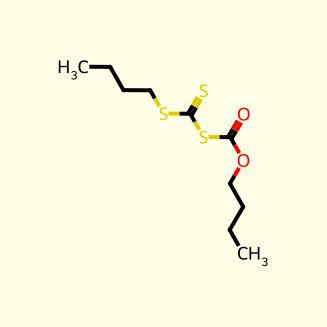 CCCCOC(=O)SC(=S)SCCCC